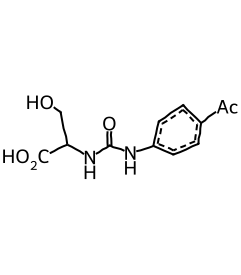 CC(=O)c1ccc(NC(=O)NC(CO)C(=O)O)cc1